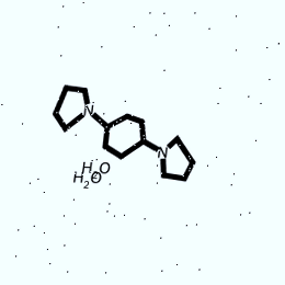 C1CCN(C2CCC(N3CCCC3)CC2)C1.O.O